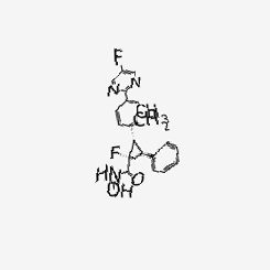 C=C(/C=C\C(=C/C)c1ncc(F)cn1)[C@@H]1[C@@H](c2ccccc2)[C@@]1(F)C(=O)NO